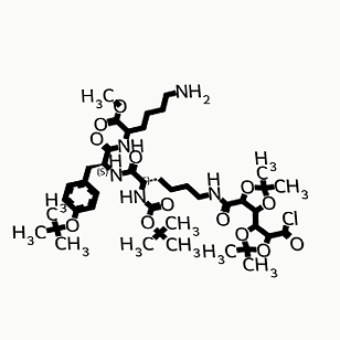 COC(=O)C(CCCCN)NC(=O)[C@H](Cc1ccc(OC(C)(C)C)cc1)NC(=O)[C@H](CCCCNC(=O)C1OC(C)(C)OC1C1OC(C)(C)OC1C(=O)Cl)NC(=O)OC(C)(C)C